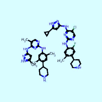 Cc1cc(Nc2nc(Nc3cc(C)c(C4CCNCC4)cc3C)ncc2C)n[nH]1.Cc1cc(Nc2ncc(Cl)c(Nc3cc(C4CC4)[nH]n3)n2)c(F)cc1C1CCNCC1